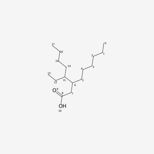 CCCCCCC(CC(=O)O)C(CC)CCCC